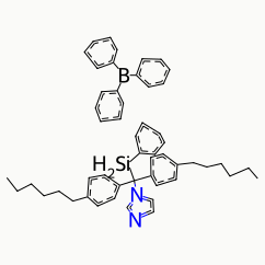 CCCCCCc1ccc(C([SiH2]c2ccccc2)(c2ccc(CCCCCC)cc2)n2ccnc2)cc1.c1ccc(B(c2ccccc2)c2ccccc2)cc1